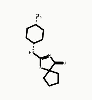 O=C1N=C(N[C@H]2CC[C@@H](C(F)(F)F)CC2)SC12CCCC2